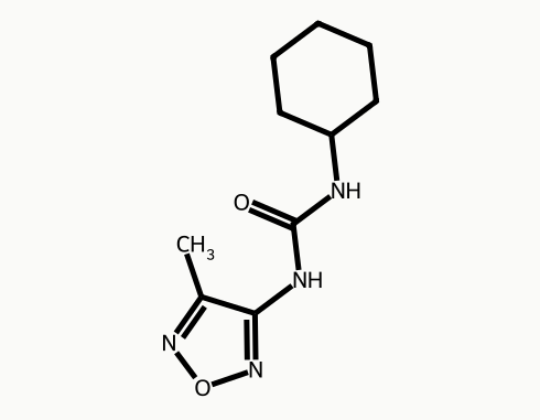 Cc1nonc1NC(=O)NC1CCCCC1